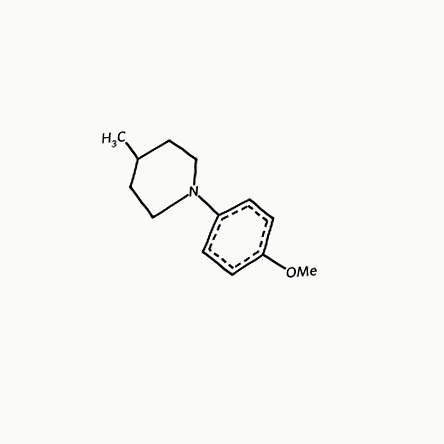 COc1ccc(N2CCC(C)CC2)cc1